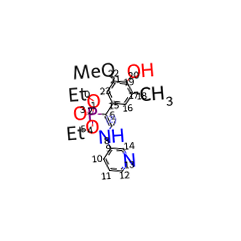 CCOP(=O)(OCC)/C(=C\Nc1cccnc1)c1cc(C)c(O)c(OC)c1